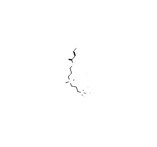 CC=CC(=O)NCCC[N+](C)(C)CCC[Si](OC)(OC)OC.[Cl-]